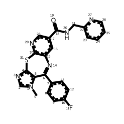 Cn1cnc2c1C(c1ccc(F)cc1)=Nc1cc(C(=O)NCc3ccccn3)cnc1S2